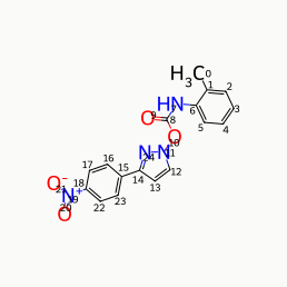 Cc1ccccc1NC(=O)On1ccc(-c2ccc([N+](=O)[O-])cc2)n1